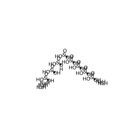 O=[Si](O)O.O=[Si](O)O.O=[Si](O)O.O=[Si](O)O.O=[Si](O)O.O=[Si](O)O.O=[Si](O)O.O=[Si](O)O.[NaH].[NaH].[NaH].[NaH].[NaH]